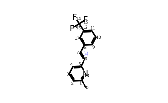 Cc1cccc(/C=C/c2cccc(C(F)(F)F)c2)n1